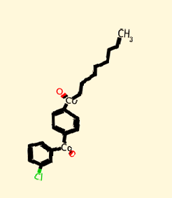 CCCCCCC[CH2][Co](=[O])[c]1cc[c]([Co](=[O])[c]2cccc(Cl)c2)cc1